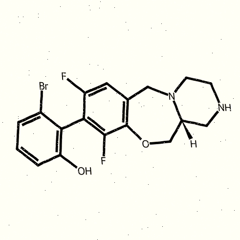 Oc1cccc(Br)c1-c1c(F)cc2c(c1F)OC[C@H]1CNCCN1C2